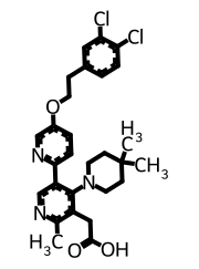 Cc1ncc(-c2ccc(OCCc3ccc(Cl)c(Cl)c3)cn2)c(N2CCC(C)(C)CC2)c1CC(=O)O